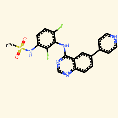 CCCS(=O)(=O)Nc1ccc(F)c(Nc2ncnc3ccc(-c4ccncc4)cc23)c1F